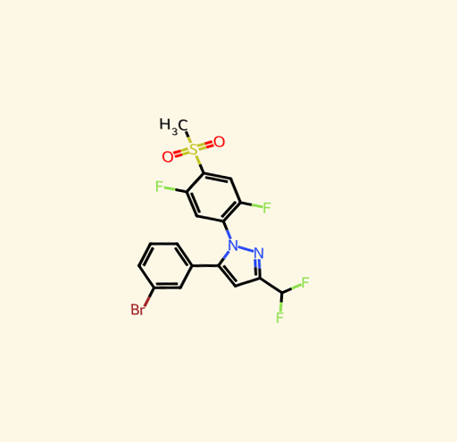 CS(=O)(=O)c1cc(F)c(-n2nc(C(F)F)cc2-c2cccc(Br)c2)cc1F